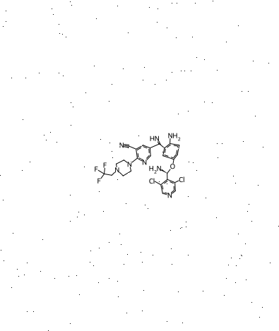 N#Cc1cc(C(=N)c2cc(O[C@H](N)c3c(Cl)cncc3Cl)ccc2N)cnc1N1CCN(CC(F)(F)F)CC1